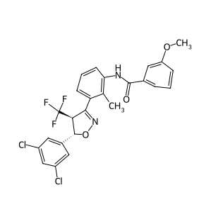 COc1cccc(C(=O)Nc2cccc(C3=NO[C@H](c4cc(Cl)cc(Cl)c4)[C@H]3C(F)(F)F)c2C)c1